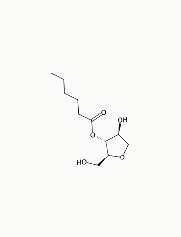 CCCCCC(=O)O[C@H]1[C@H](CO)OC[C@@H]1O